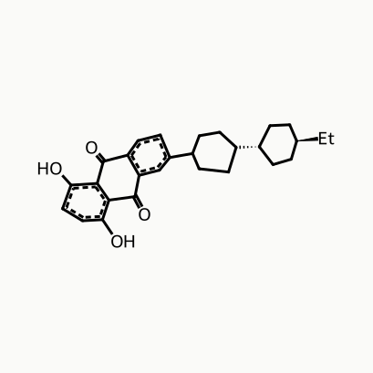 CC[C@H]1CC[C@H](C2CCC(c3ccc4c(c3)C(=O)c3c(O)ccc(O)c3C4=O)CC2)CC1